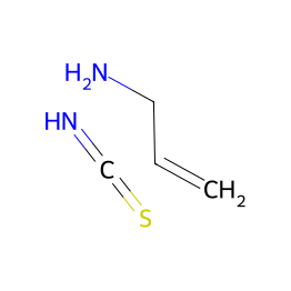 C=CCN.N=C=S